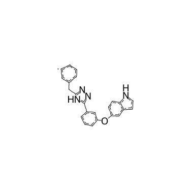 [c]1cccc(Cc2nnc(-c3cccc(Oc4ccc5[nH]ccc5c4)c3)[nH]2)c1